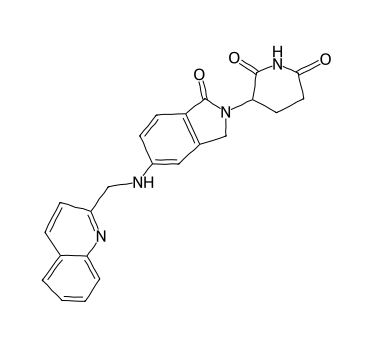 O=C1CCC(N2Cc3cc(NCc4ccc5ccccc5n4)ccc3C2=O)C(=O)N1